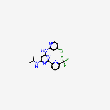 CC(C)Nc1cc(Nc2cc(Cl)ccn2)nc(-c2cccc(C(F)(F)F)n2)n1